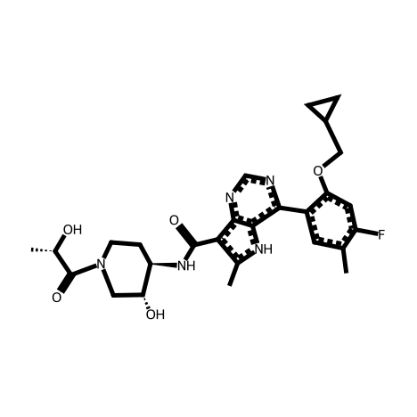 Cc1cc(-c2ncnc3c(C(=O)N[C@@H]4CCN(C(=O)[C@H](C)O)C[C@H]4O)c(C)[nH]c23)c(OCC2CC2)cc1F